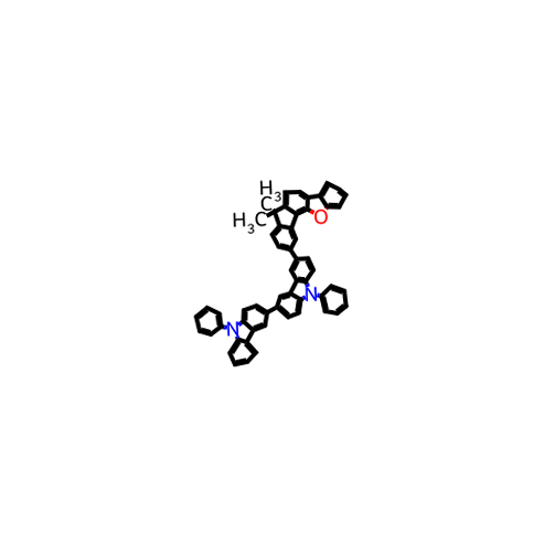 CC1(C)c2ccc(-c3ccc4c(c3)c3cc(-c5ccc6c(c5)c5ccccc5n6-c5ccccc5)ccc3n4-c3ccccc3)cc2-c2c1ccc1c2oc2ccccc21